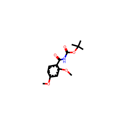 COc1ccc(C(=O)NC(=O)OC(C)(C)C)c(OC)c1